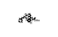 CCN(O[C@@H](c1cc(F)cc(Cl)c1)C1CCCN(C(=O)N(N)CCCC2CCCCOC2)C1)C(=O)OC